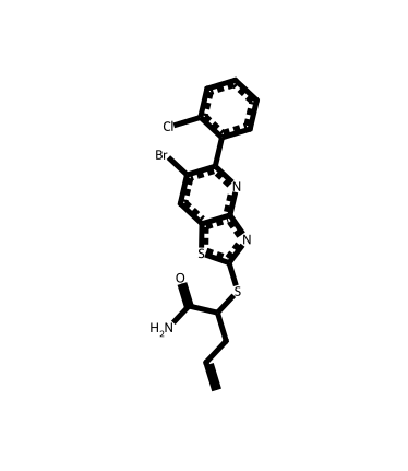 C=CCC(Sc1nc2nc(-c3ccccc3Cl)c(Br)cc2s1)C(N)=O